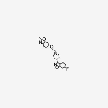 Cc1nc2ccc(OCCN3CCC(c4noc5cc(F)ccc45)CC3)cc2o1